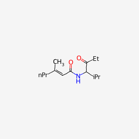 CCC/C(C)=C/C(=O)NC(C(=O)CC)C(C)C